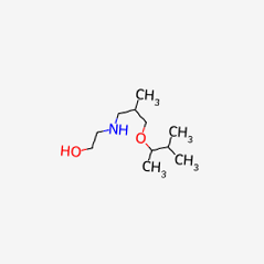 CC(CNCCO)COC(C)C(C)C